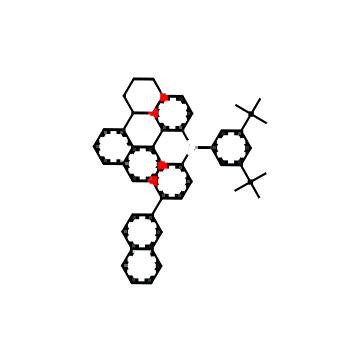 CC(C)(C)c1cc(N(c2ccc(-c3ccc4ccccc4c3)cc2)c2ccccc2-c2cccc3cccc(C4CCCCC4)c23)cc(C(C)(C)C)c1